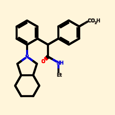 CCNC(=O)C(c1ccc(C(=O)O)cc1)c1ccccc1N1CC2CCCCC2C1